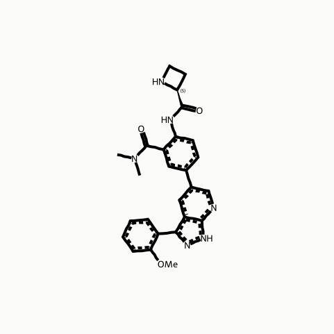 COc1ccccc1-c1n[nH]c2ncc(-c3ccc(NC(=O)[C@@H]4CCN4)c(C(=O)N(C)C)c3)cc12